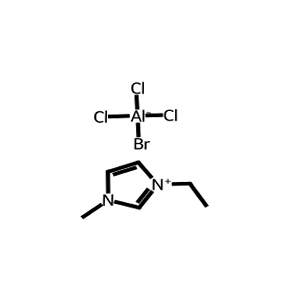 CC[n+]1ccn(C)c1.[Cl][Al-]([Cl])([Cl])[Br]